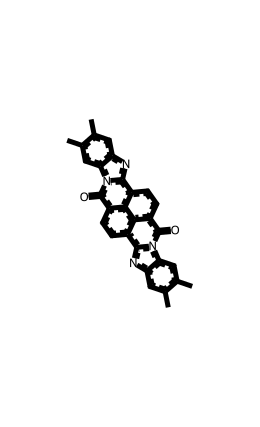 Cc1cc2nc3c4ccc5c(=O)n6c7cc(C)c(C)cc7nc6c6ccc(c(=O)n3c2cc1C)c4c56